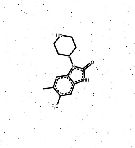 Cc1cc2c(cc1C(F)(F)F)[nH]c(=O)n2C1CCNCC1